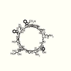 CCCC[C@H]1C(=O)N(C)[C@@H](CCCC)C(=O)N[C@@H](CC(C)C)C(=O)N[C@H](C(=O)NCC(N)=O)CSCC(=O)N[C@@H](Cc2ccc(O)cc2)C(=O)N(C)[C@@H](C)C(=O)N[C@@H](CC(N)=O)C(=O)N2CCC[C@H]2C(=O)N[C@@H](CNC[C@H](O)[C@@H](O)[C@H](O)CO)C(=O)N[C@@H](CC(C)C)C(=O)N2C[C@H](O)C[C@H]2C(=O)N[C@@H](Cc2c[nH]c3ccccc23)C(=O)N[C@@H](CCN)C(=O)N[C@@H](Cc2cn(CC(=O)O)c3ccccc23)C(=O)N1C